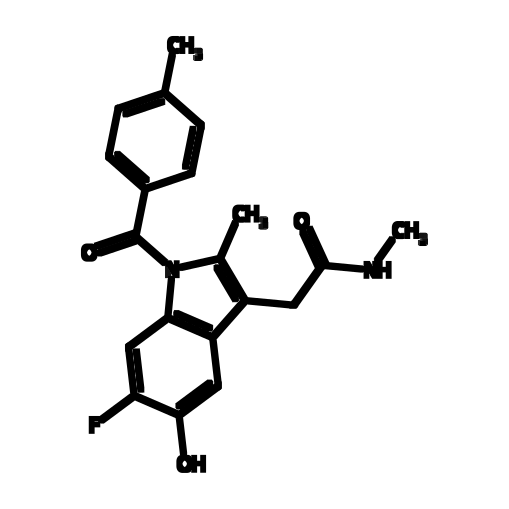 CNC(=O)Cc1c(C)n(C(=O)c2ccc(C)cc2)c2cc(F)c(O)cc12